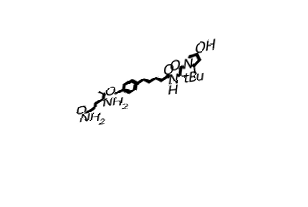 C[C@@H]1C[C@@H](O)CN1C(=O)[C@@H](NC(=O)CCCCc1ccc(CO[C@H](C)[C@@H](N)CCC(N)=O)cc1)C(C)(C)C